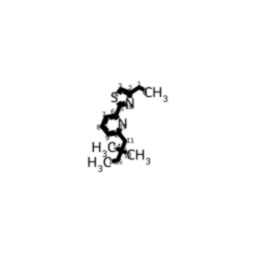 CCc1csc(-c2cccc(CC(C)(C)CC)n2)n1